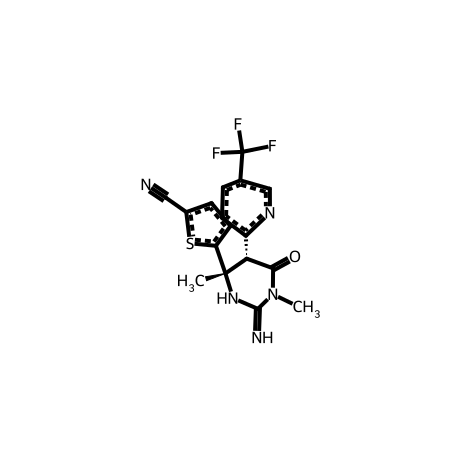 CN1C(=N)N[C@](C)(c2ccc(C#N)s2)[C@H](c2ccc(C(F)(F)F)cn2)C1=O